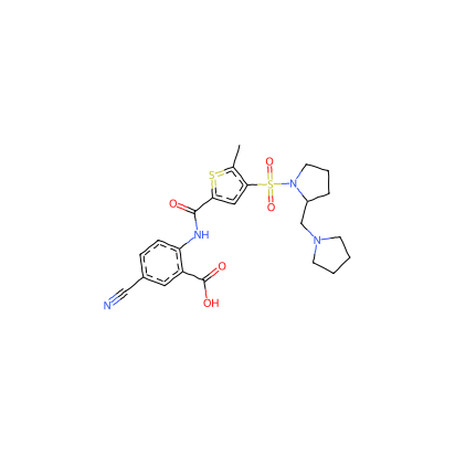 Cc1sc(C(=O)Nc2ccc(C#N)cc2C(=O)O)cc1S(=O)(=O)N1CCCC1CN1CCCC1